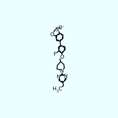 CCc1cnc(N2CCC(COc3ccc(-c4ccc5c(c4)OC[S@@+]5[O-])cc3F)CC2)nc1